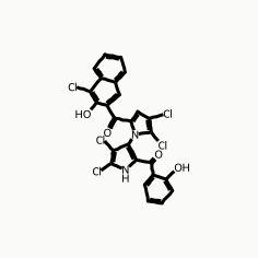 O=C(c1ccccc1O)c1[nH]c(Cl)c(Cl)c1-n1c(C(=O)c2cc3ccccc3c(Cl)c2O)cc(Cl)c1Cl